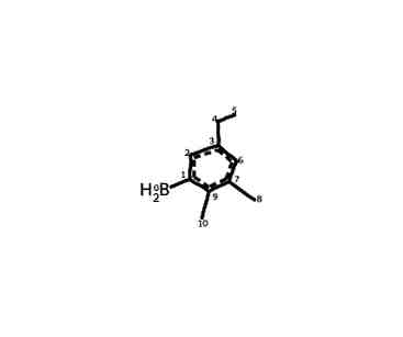 Bc1cc(CC)cc(C)c1C